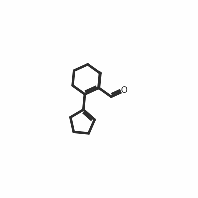 O=CC1=C(C2=CCCC2)CCCC1